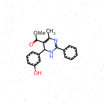 COC(=O)C1=C(C)N=C(c2ccccc2)NC1c1cccc(O)c1